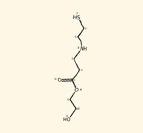 O=C(CCNCCS)OCCO